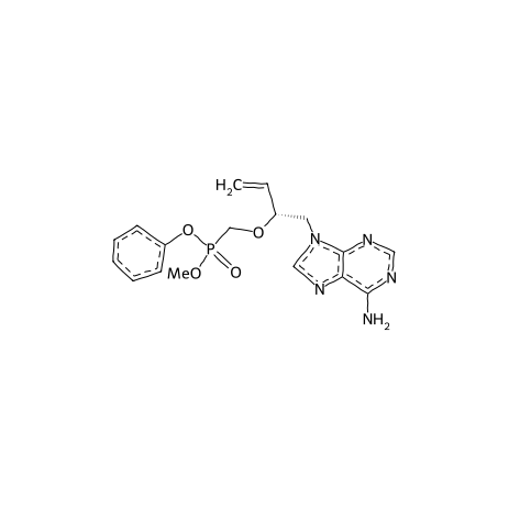 C=C[C@H](Cn1cnc2c(N)ncnc21)OCP(=O)(OC)Oc1ccccc1